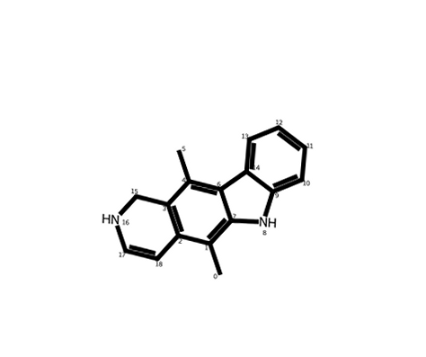 Cc1c2c(c(C)c3c1[nH]c1ccccc13)CNC=C2